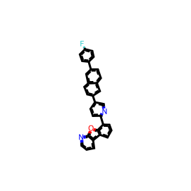 Fc1ccc(-c2ccc3cc(-c4ccc(-c5cccc6c5oc5ncccc56)nc4)ccc3c2)cc1